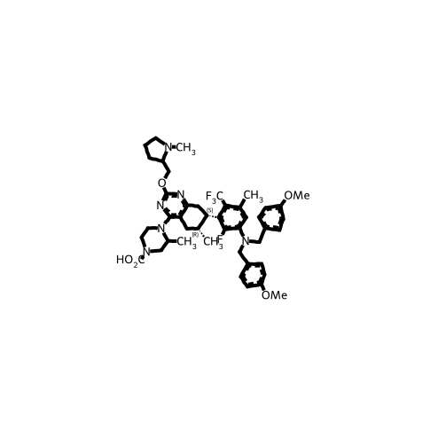 COc1ccc(CN(Cc2ccc(OC)cc2)c2cc(C)c(C(F)(F)F)c([C@H]3Cc4nc(OCC5CCCN5C)nc(N5CCN(C(=O)O)CC5C)c4C[C@H]3C)c2F)cc1